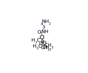 Cc1cc(C(=O)NC/C=C\C=C/N)ccc1B1OC(C)(C)C(C)(C)O1